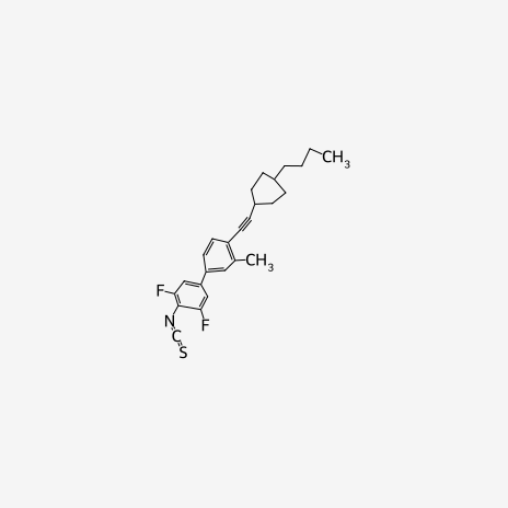 CCCCC1CCC(C#Cc2ccc(-c3cc(F)c(N=C=S)c(F)c3)cc2C)CC1